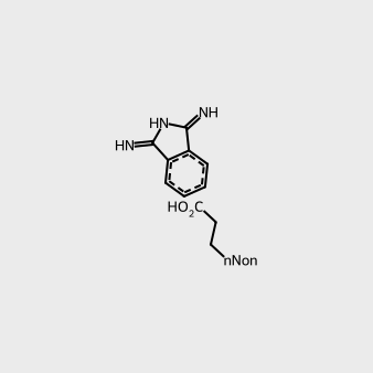 CCCCCCCCCCCC(=O)O.N=C1NC(=N)c2ccccc21